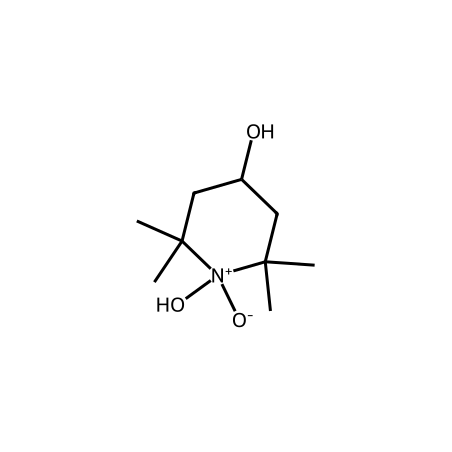 CC1(C)CC(O)CC(C)(C)[N+]1([O-])O